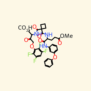 COC(=O)CCC(NC(=O)C1(C(=O)NC(CC(=O)O)C(=O)COc2c(F)c(F)cc(F)c2F)CCC1)C(=O)Nc1cccc(Oc2ccccc2)c1